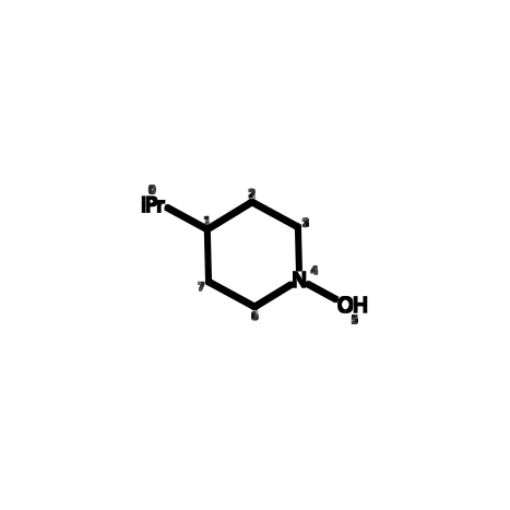 CC(C)C1CCN(O)CC1